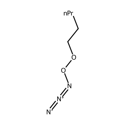 CCCCCOON=[N+]=[N-]